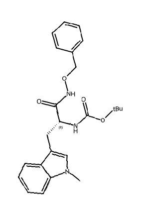 Cn1cc(C[C@@H](NC(=O)OC(C)(C)C)C(=O)NOCc2ccccc2)c2ccccc21